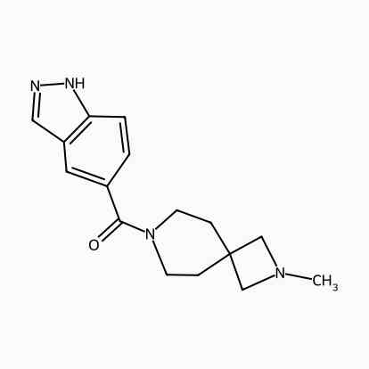 CN1CC2(CCN(C(=O)c3ccc4[nH]ncc4c3)CC2)C1